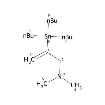 C=[C](CN(C)C)[Sn]([CH2]CCC)([CH2]CCC)[CH2]CCC